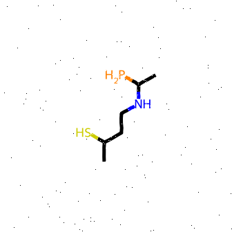 CC(S)CCNC(C)P